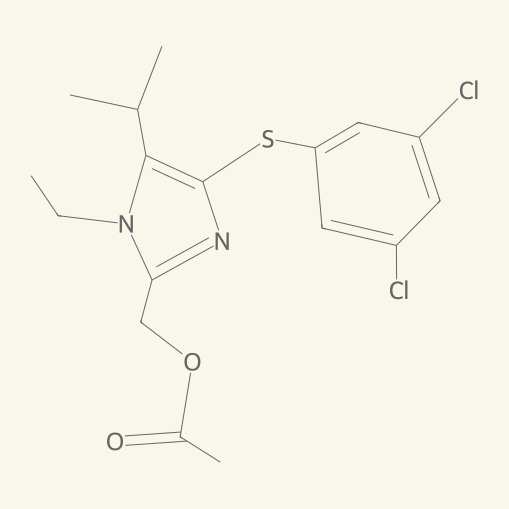 CCn1c(COC(C)=O)nc(Sc2cc(Cl)cc(Cl)c2)c1C(C)C